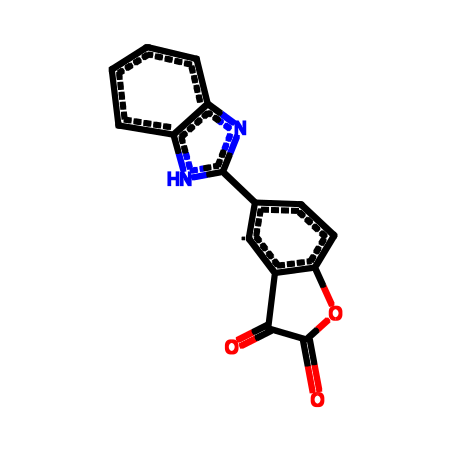 O=C1Oc2ccc(-c3nc4ccccc4[nH]3)[c]c2C1=O